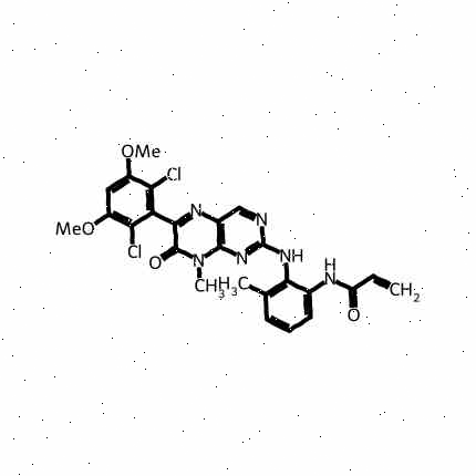 C=CC(=O)Nc1cccc(C)c1Nc1ncc2nc(-c3c(Cl)c(OC)cc(OC)c3Cl)c(=O)n(C)c2n1